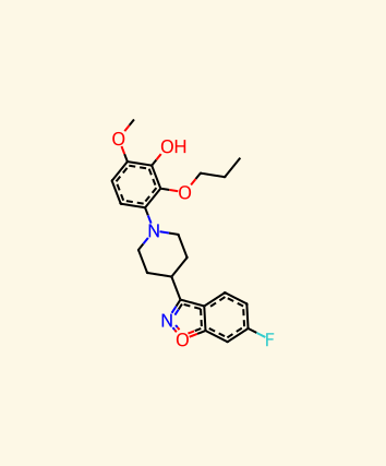 CCCOc1c(N2CCC(c3noc4cc(F)ccc34)CC2)ccc(OC)c1O